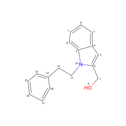 OCc1cc2ccccc2n1CCc1ccccc1